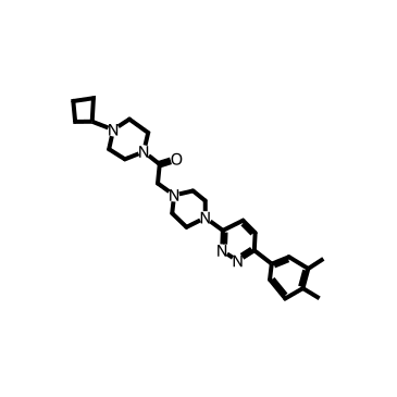 Cc1ccc(-c2ccc(N3CCN(CC(=O)N4CCN(C5CCC5)CC4)CC3)nn2)cc1C